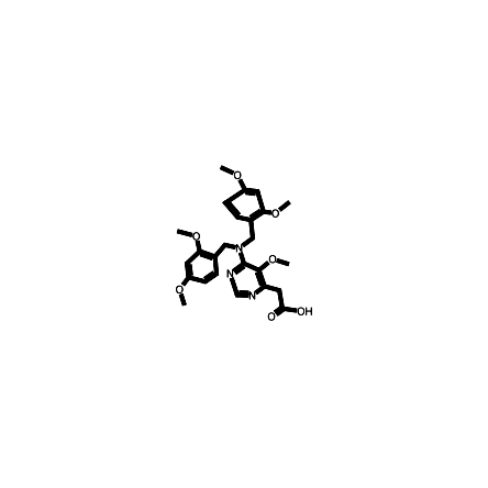 COc1ccc(CN(Cc2ccc(OC)cc2OC)c2ncnc(CC(=O)O)c2OC)c(OC)c1